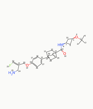 CC(C)(C)O[C@H]1C[C@@H](NC(=O)C23CCC(c4ccc(OC/C(=C/F)CN)cc4)(CC2)CC3)C1